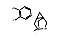 COCC12CN[C@H](C)C[C@@]1(c1ccc(Cl)c(Cl)c1)C2